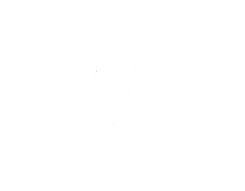 Cc1c(C=O)cc(C=O)cc1C=O